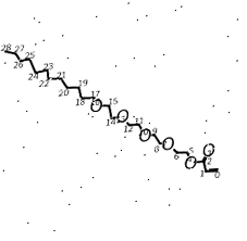 C=CC(=O)OCCOCCOCCOCCOCCCCCCCCCCCC